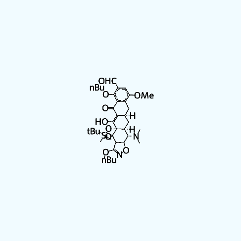 CCCCOC1=NOC2C1C(=O)[C@@]1(O[Si](C)(C)C(C)(C)C)C(O)=C3C(=O)c4c(c(OC)cc(C=O)c4OCCCC)C[C@H]3C[C@H]1[C@@H]2N(C)C